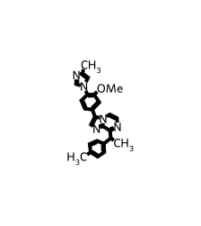 COc1cc(-c2cnc3c(C(C)c4ccc(C)cc4)nccn23)ccc1-n1cnc(C)c1